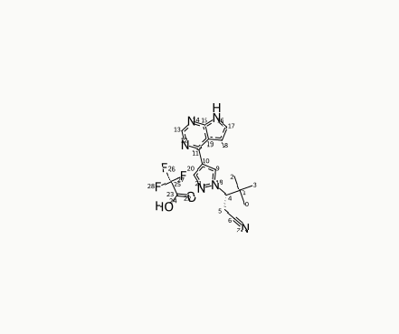 CC(C)(C)[C@H](CC#N)n1cc(-c2ncnc3[nH]ccc23)cn1.O=C(O)C(F)(F)F